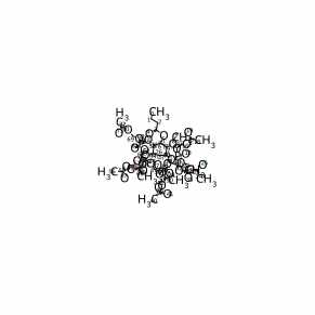 CCCC(=O)O[C@H]1[C@@H](OC)[C@@H](OP(=O)(OCOC(C)=O)OCOC(C)=O)[C@H](OP(=O)(OCOC(C)=O)OCOC(C)=O)[C@@H](OP(=O)(OCOC(C)=O)OCOC(C)=O)[C@@H]1OP(=O)(OCOC(C)=O)OCOC(C)=O